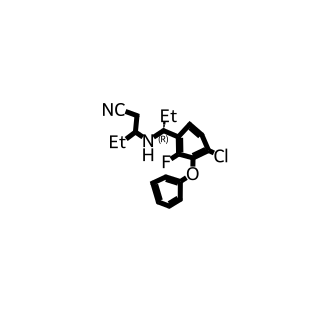 CCC(CC#N)N[C@H](CC)c1ccc(Cl)c(Oc2ccccc2)c1F